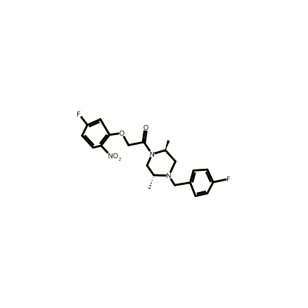 C[C@@H]1CN(C(=O)COc2cc(F)ccc2[N+](=O)[O-])[C@@H](C)CN1Cc1ccc(F)cc1